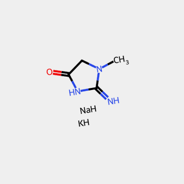 CN1CC(=O)NC1=N.[KH].[NaH]